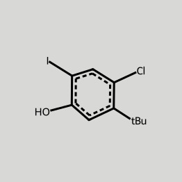 CC(C)(C)c1cc(O)c(I)cc1Cl